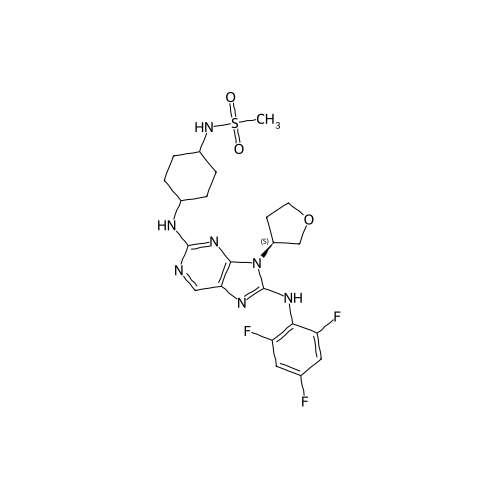 CS(=O)(=O)NC1CCC(Nc2ncc3nc(Nc4c(F)cc(F)cc4F)n([C@H]4CCOC4)c3n2)CC1